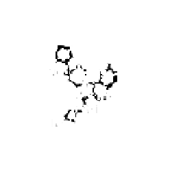 N#CC1(c2ccccc2)CCN(c2c(C(=O)NC3CC(O)C3)cnc3ccc(F)cc23)CC1